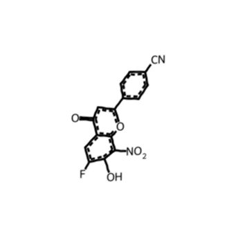 N#Cc1ccc(-c2cc(=O)c3cc(F)c(O)c([N+](=O)[O-])c3o2)cc1